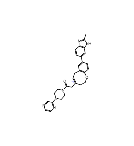 Cc1nc2ccc(-c3ccc4c(c3)C/C=C(/CC(=O)N3CCN(c5cnccn5)CC3)CCO4)cc2[nH]1